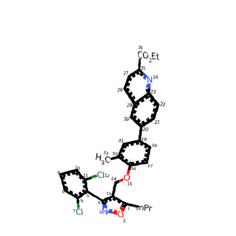 CCCc1onc(-c2c(Cl)cccc2Cl)c1COc1ccc(-c2ccc3nc(C(=O)OCC)ccc3c2)cc1C